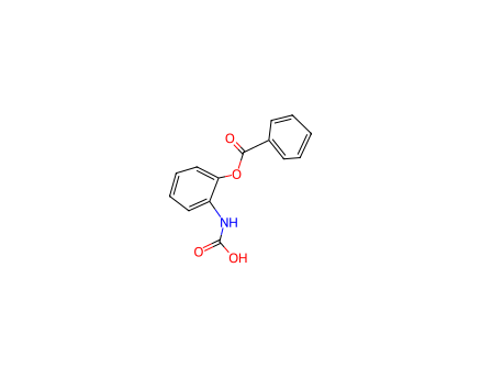 O=C(O)Nc1ccccc1OC(=O)c1ccccc1